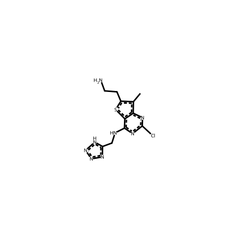 Cc1c(CCN)sc2c(NCc3nnn[nH]3)nc(Cl)nc12